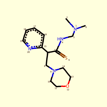 CN(C)CNC(=S)C(CN1CCOCC1)c1ccccn1